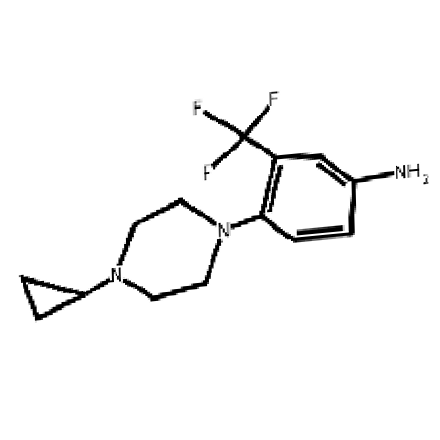 Nc1ccc(N2CCN(C3CC3)CC2)c(C(F)(F)F)c1